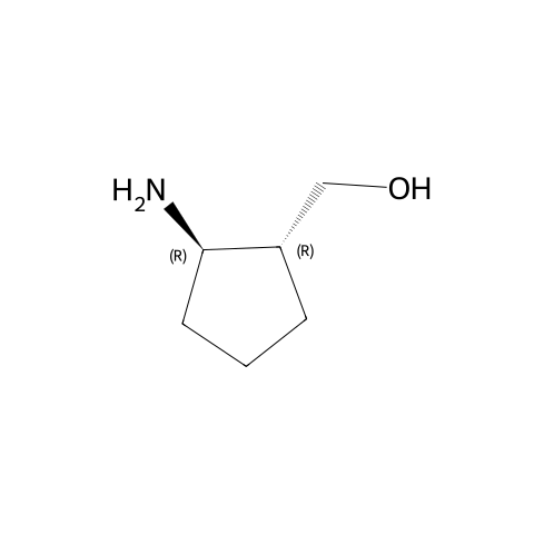 N[C@@H]1CCC[C@H]1CO